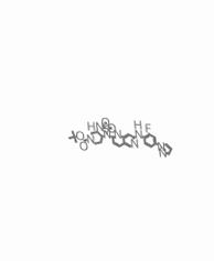 CC(C)(C)OC(=O)N1CCC2C(C1)NS(=O)(=O)N2c1ccc2cnc(Nc3ccc(-n4cccn4)cc3F)cc2n1